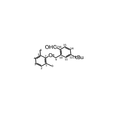 Cc1cccc(C)c1OCc1cc(C(C)(C)C)ccc1C=O